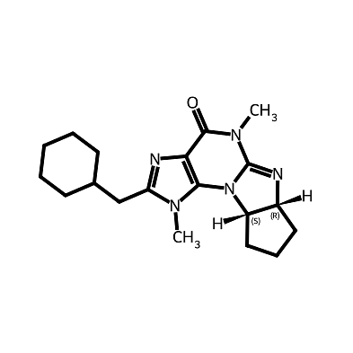 CN1C(=O)c2nc(CC3CCCCC3)n(C)c2N2C1=N[C@@H]1CCC[C@@H]12